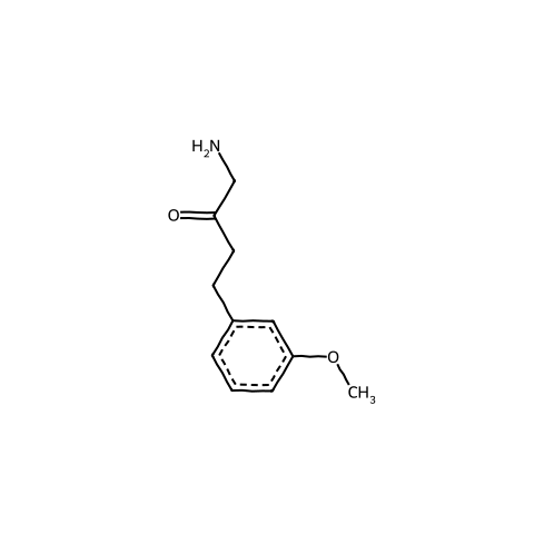 COc1cccc(CCC(=O)CN)c1